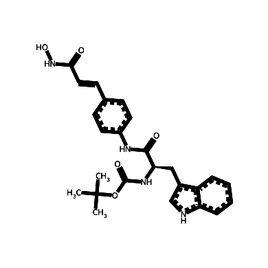 CC(C)(C)OC(=O)N[C@H](Cc1c[nH]c2ccccc12)C(=O)Nc1ccc(/C=C/C(=O)NO)cc1